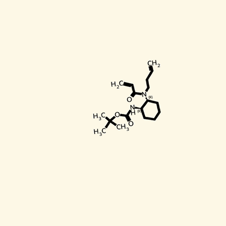 C=CCCN(C(=O)C=C)[C@@H]1CCCC[C@H]1NC(=O)OC(C)(C)C